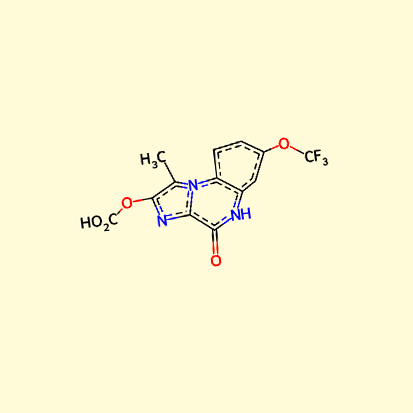 Cc1c(OC(=O)O)nc2c(=O)[nH]c3cc(OC(F)(F)F)ccc3n12